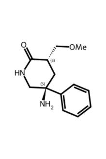 COC[C@@H]1C[C@](N)(c2ccccc2)CNC1=O